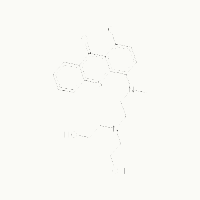 CN(CCN(CCO)CCO)c1ccc(Cl)c2c(=O)c3ccccc3sc12